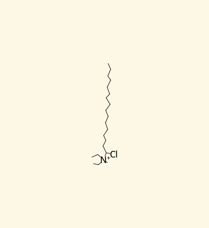 CCCCCCCCCCCCCCCC(Cl)[N+](C)(CC)CC